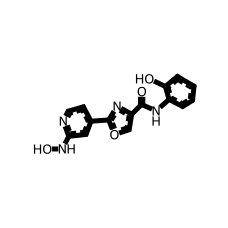 O=C(Nc1ccccc1O)c1coc(-c2ccnc(NO)c2)n1